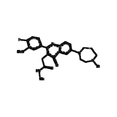 CCN1CCCN(c2ccc3nc(-c4ccc(F)c(OC)c4)n(CC(=O)NC(C)(C)C)c(=O)c3c2)CC1